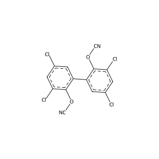 N#COc1c(Cl)cc(Cl)cc1-c1cc(Cl)cc(Cl)c1OC#N